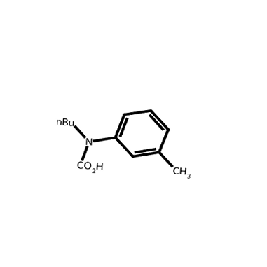 CCCCN(C(=O)O)c1cccc(C)c1